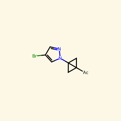 CC(=O)C12CC1(n1cc(Br)cn1)C2